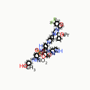 CC(C)Oc1ccccc1[C@H]1CN([C@H]2CCOc3cc(F)c(F)cc32)CCN1C1CC2(CCN(c3ccc(C(=O)NS(=O)(=O)c4ccc(NC[C@H]5CC[C@](C)(O)CC5)c([N+](=O)[O-])c4)c(N4c5cc6cc[nH]c6nc5O[C@H]5COCC[C@@H]54)c3)CC2)C1